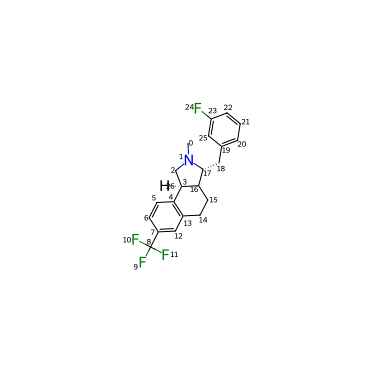 CN1C[C@@H]2c3ccc(C(F)(F)F)cc3CCC2[C@H]1Cc1cccc(F)c1